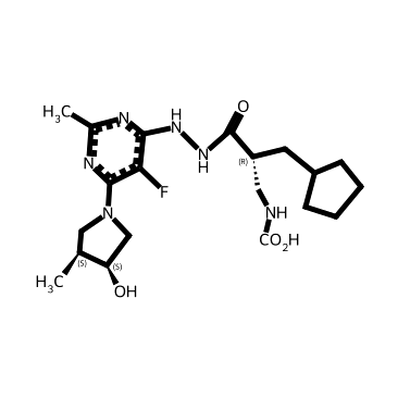 Cc1nc(NNC(=O)[C@@H](CNC(=O)O)CC2CCCC2)c(F)c(N2C[C@@H](O)[C@@H](C)C2)n1